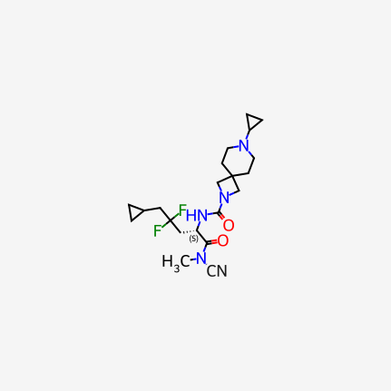 CN(C#N)C(=O)[C@H](CC(F)(F)CC1CC1)NC(=O)N1CC2(CCN(C3CC3)CC2)C1